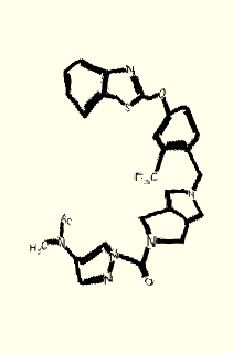 CC(=O)N(C)c1cnn(C(=O)N2CC3CN(Cc4ccc(Oc5nc6ccccc6s5)cc4C(F)(F)F)CC3C2)c1